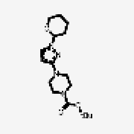 CC(C)(C)OC(=O)N1CCN(c2ccn(C3CCCCO3)n2)CC1